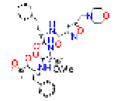 CO[C@H](C)[C@H](NC(=O)[C@H](CCc1ccccc1)NC(=O)c1cc(CN2CCOCC2)on1)C(=O)N[C@@H](Cc1ccccc1)C(=O)[C@@]1(C)CO1